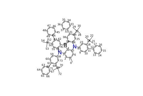 Cc1cc2c3c(c1)N(c1ccc(-c4ccccc4)c(C(C)(C)C)c1)c1cc(C(C)(C)C)c(-c4ccccc4)cc1B3c1cc(-c3ccccc3)c(C(C)(C)C)cc1N2c1ccc(-c2ccccc2)c(C(C)(C)C)c1